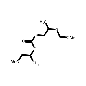 COCOC(C)COC(=O)OC(C)COC